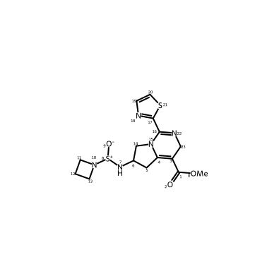 COC(=O)C1=C2CC(N[S+]([O-])N3CCC3)CN2C(c2nccs2)=NC1